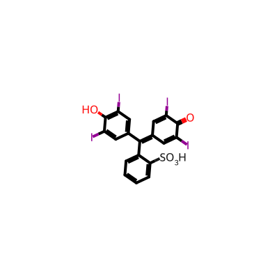 O=C1C(I)=CC(=C(c2cc(I)c(O)c(I)c2)c2ccccc2S(=O)(=O)O)C=C1I